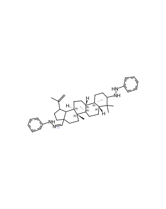 C=C(C)C1CCC2(/C=N\Nc3ccccc3)CC[C@]3(C)[C@H](CC[C@@H]4[C@@]5(C)CCC(NNc6ccccc6)C(C)(C)[C@@H]5CC[C@]43C)C12